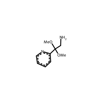 COC(CN)(OC)c1ccccn1